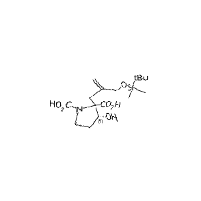 C=C(CO[Si](C)(C)C(C)(C)C)CC1(C(=O)O)[C@H](O)CCN1C(=O)O